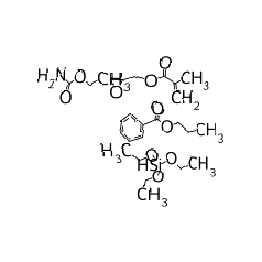 C=C(C)C(=O)OCC1CO1.CCCOC(=O)c1ccccc1.CCOC(N)=O.CCO[SiH](OCC)OCC